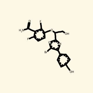 NC(=O)c1c(F)ccc(OC(CO)c2nc(-c3ccc(O)cc3)c(Br)o2)c1F